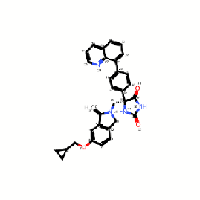 C=C1c2cc(OCC3CC3)ccc2CN1C[C@@]1(c2ccc(-c3cccc4cccnc34)cc2)NC(=O)NC1=O